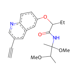 C#Cc1cnc2ccc(OC(CC)C(=O)NC(C)(OC)C(C)OC)cc2c1